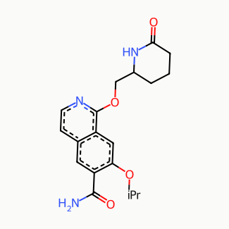 CC(C)Oc1cc2c(OCC3CCCC(=O)N3)nccc2cc1C(N)=O